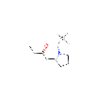 CCC(=O)C=C1CCCN1C[Si](C)(C)C